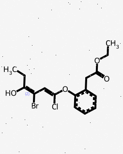 CCOC(=O)Cc1ccccc1OC(Cl)=C/C(Br)=C(/O)CC